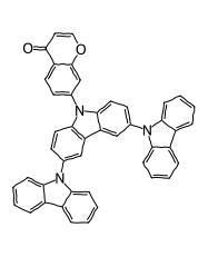 O=c1ccoc2cc(-n3c4ccc(-n5c6ccccc6c6ccccc65)cc4c4cc(-n5c6ccccc6c6ccccc65)ccc43)ccc12